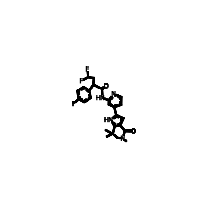 CN1CC(C)(C)c2[nH]c(-c3ccnc(NC(=O)C(CC(F)F)c4ccc(F)cc4)c3)cc2C1=O